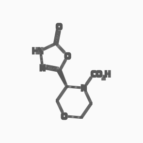 O=C(O)N1CCOC[C@H]1c1n[nH]c(=O)o1